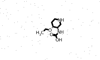 CCO[C@@H]1CCNC[C@H]1NC(=O)O